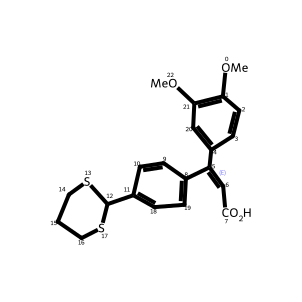 COc1ccc(/C(=C/C(=O)O)c2ccc(C3SCCCS3)cc2)cc1OC